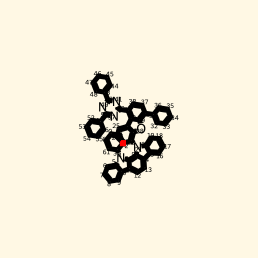 C1=CCC(n2c3ccccc3c3ccc4c5ccccc5n(-c5cccc6c5oc5c(-c7ccccc7)ccc(-c7nc(C8=CCCC=C8)nc(-c8ccccc8)n7)c56)c4c32)C=C1